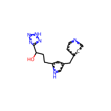 OC(CCc1cc(Cc2ccncc2)c[nH]1)c1nn[nH]n1